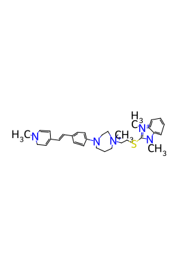 CN1C=CC(/C=C/c2ccc(N3CCC[N+](C)(CCSc4n(C)c5ccccc5[n+]4C)CC3)cc2)=CC1